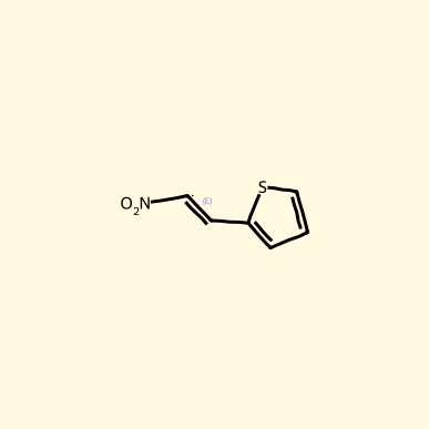 O=[N+]([O-])/[C]=C/c1cccs1